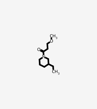 CCC1CCCN(C(=O)CCOC)C1